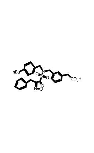 CCCCc1ccc(CN(Cc2cccc(CC(=O)O)c2)S(=O)(=O)c2nonc2Cc2ccccc2)cc1